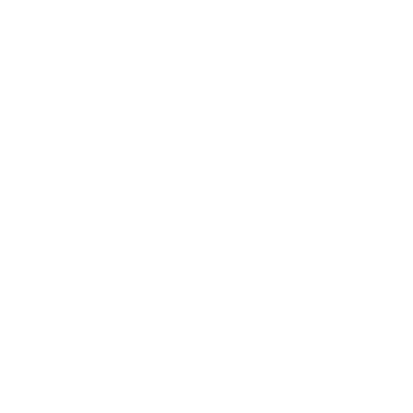 FC(Cl)c1ccc(C(Cl)Cl)cc1